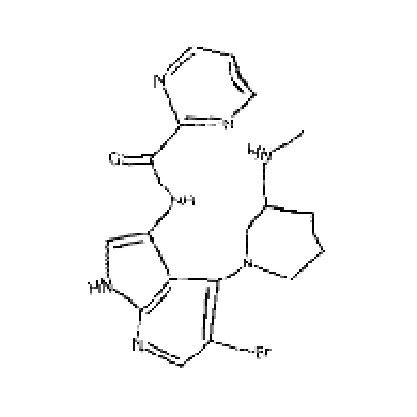 CNC1CCCN(c2c(Br)cnc3[nH]cc(NC(=O)c4ncccn4)c23)C1